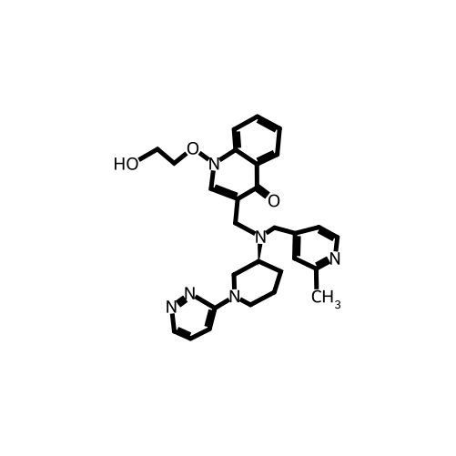 Cc1cc(CN(Cc2cn(OCCO)c3ccccc3c2=O)[C@H]2CCCN(c3cccnn3)C2)ccn1